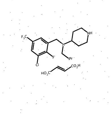 CC(C)CN(Cc1cc(C(F)(F)F)cc(Cl)c1F)C1CCNCC1.O=C(O)/C=C/C(=O)O